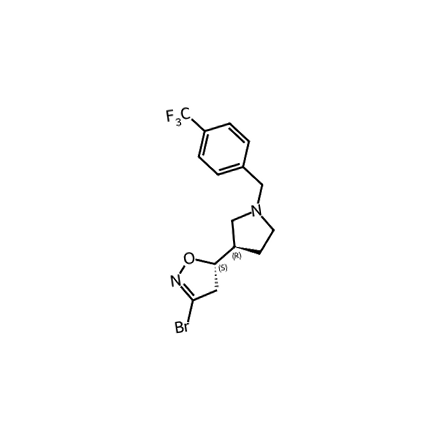 FC(F)(F)c1ccc(CN2CC[C@@H]([C@@H]3CC(Br)=NO3)C2)cc1